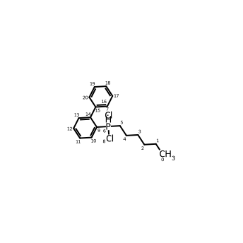 CCCCCC[PH](Cl)(Cl)c1ccccc1-c1ccccc1